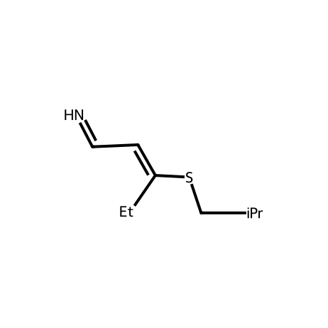 CC/C(=C\C=N)SCC(C)C